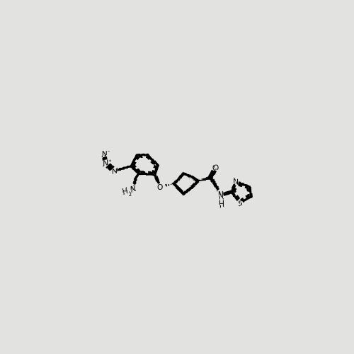 [N-]=[N+]=Nc1cccc(O[C@H]2C[C@H](C(=O)Nc3nccs3)C2)c1N